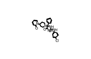 NC(=O)C(NC(=O)Nc1ccc(Cl)cc1)(c1ccccc1)N1CCC(n2ccccc2=O)CC1